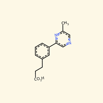 Cc1cncc(-c2cccc(CCC(=O)O)c2)n1